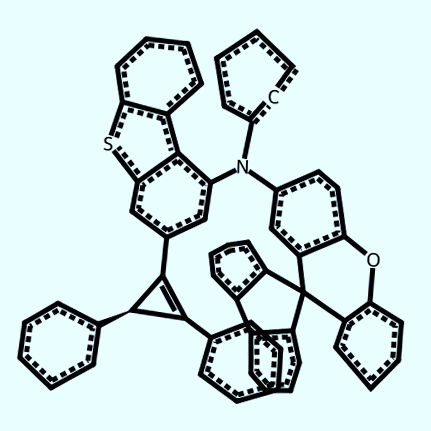 c1ccc(C2=C(c3cc(N(c4ccccc4)c4ccc5c(c4)C4(c6ccccc6O5)c5ccccc5-c5ccccc54)c4c(c3)sc3ccccc34)[C@@H]2c2ccccc2)cc1